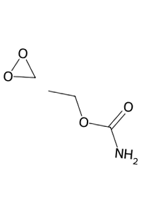 C1OO1.CCOC(N)=O